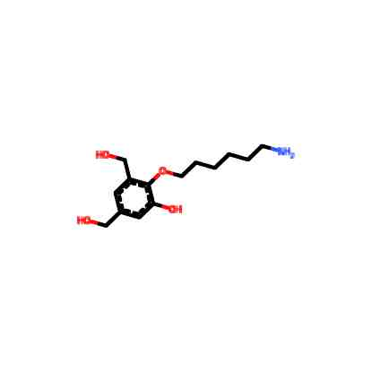 NCCCCCCOc1c(O)cc(CO)cc1CO